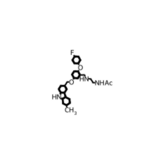 CC(=O)NCCNCc1cc(OCc2ccc3[nH]c4cc(C)ccc4c3c2)ccc1Oc1ccc(F)cc1